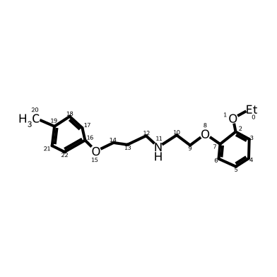 CCOc1ccccc1OCCNCCCOc1ccc(C)cc1